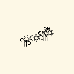 O=C1CCC(N2Cc3ccc(C(=O)NC(=O)Nc4ccccc4CO)cc3C2)C(=O)N1